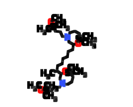 CO[Si](C)(C)CCCN1CCC[Si](C)(C)OC(CCCCCCC(C)C2CN(CCC[Si](C)(C)OC)CCC[Si](C)(C)O2)C1